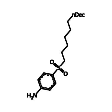 CCCCCCCCCCCCCCCCS(=O)(=O)c1ccc(N)cc1